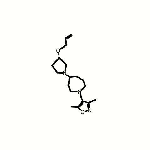 C=CCO[C@@H]1CCN(C2CCCN(c3c(C)noc3C)CC2)C1